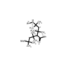 CNC(C)(C)CC(C)(C)C(C(=O)C(C)C)C(C)(C)CC(C)(C)NC(C)C